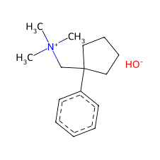 C[N+](C)(C)CC1(c2ccccc2)CCCC1.[OH-]